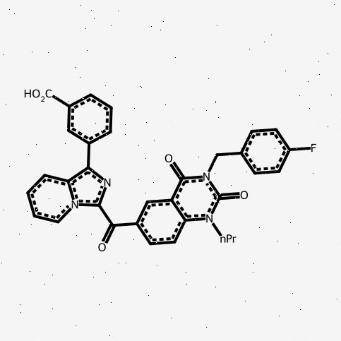 CCCn1c(=O)n(Cc2ccc(F)cc2)c(=O)c2cc(C(=O)c3nc(-c4cccc(C(=O)O)c4)c4ccccn34)ccc21